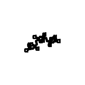 Cl[SiH](Cl)C[Si](Cl)(Cl)CC[Si](Cl)(Cl)C[Si](Cl)(Cl)CC[Si](Cl)(Cl)C[SiH](Cl)Cl